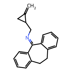 C=C1CC1CN=C1c2ccccc2CCc2ccccc21